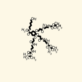 CN(CCCCCCO)C(=O)C1C[C@@H](OCCC(=O)NCCCNC(=O)OC(C)(C)C)C(OCCC(=O)NCCCNC(=O)OC(C)(C)C)[C@H](OCCC(=O)NCCCNC(=O)OC(C)(C)C)C1